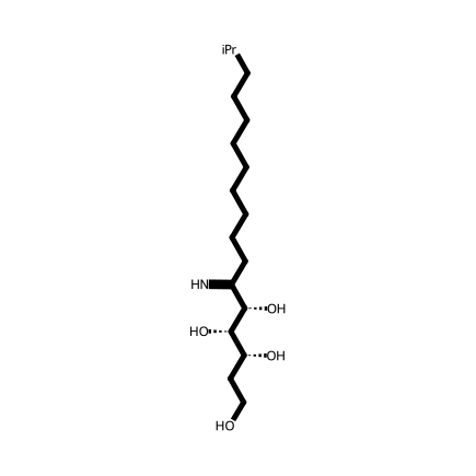 CC(C)CCCCCCCCCC(=N)[C@H](O)[C@@H](O)[C@H](O)CCO